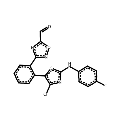 O=Cc1nc(-c2ccccc2-c2sc(Nc3ccc(F)cc3)nc2Cl)no1